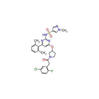 Cc1cccc(C)c1-c1cc(OC2CCN(C(=O)Cc3cc(Cl)ccc3F)C2)nc(NS(=O)(=O)c2cnn(C)c2)n1